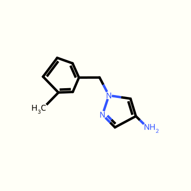 Cc1cccc(Cn2cc(N)cn2)c1